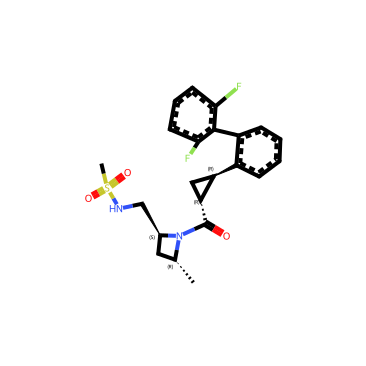 C[C@@H]1C[C@@H](CNS(C)(=O)=O)N1C(=O)[C@@H]1C[C@H]1c1ccccc1-c1c(F)cccc1F